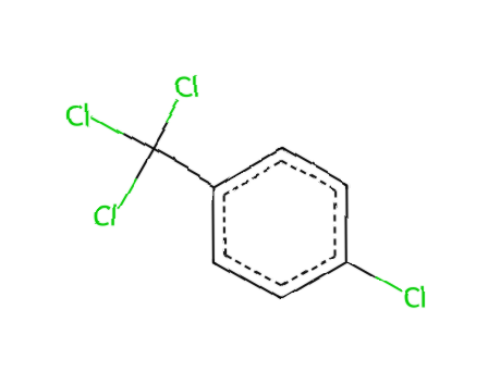 Clc1ccc(C(Cl)(Cl)Cl)cc1